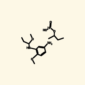 CCC(C)O[PH](=O)O.CCC(Nc1cc(N)ccc1OC)OC